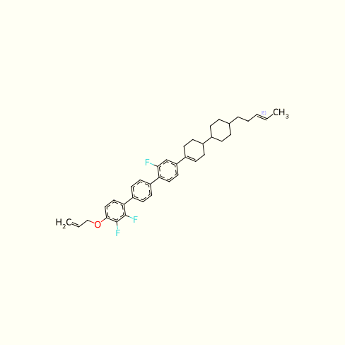 C=CCOc1ccc(-c2ccc(-c3ccc(C4=CCC(C5CCC(CC/C=C/C)CC5)CC4)cc3F)cc2)c(F)c1F